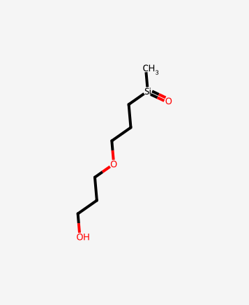 C[Si](=O)CCCOCCCO